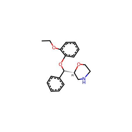 CCOc1ccccc1OC(c1ccccc1)[C@H]1CNCCO1